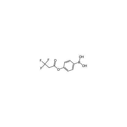 O=C(CC(F)(F)F)Oc1ccc(B(O)O)cc1